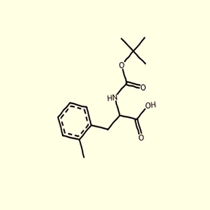 Cc1ccccc1CC(NC(=O)OC(C)(C)C)C(=O)O